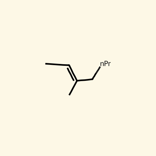 CC=C(C)CCCC